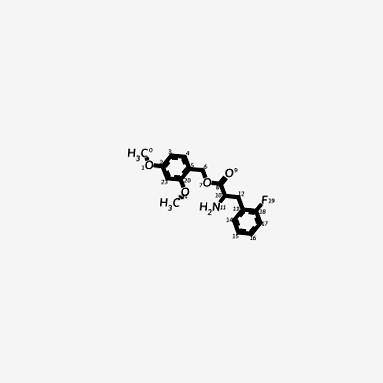 COc1ccc(COC(=O)C(N)Cc2ccccc2F)c(OC)c1